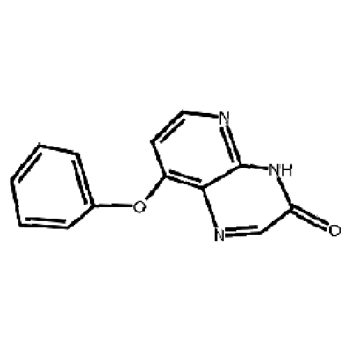 O=c1cnc2c(Oc3ccccc3)ccnc2[nH]1